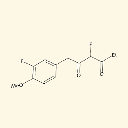 CCC(=O)C(F)C(=O)Cc1ccc(OC)c(F)c1